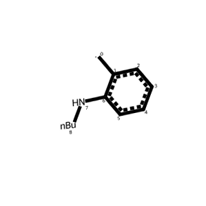 [CH2]c1ccccc1NCCCC